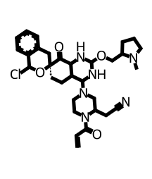 C=CC(=O)N1CCN(C2NC(OCC3CCCN3C)NC3C(=O)[C@]4(CCC32)Cc2ccccc2C(Cl)O4)CC1CC#N